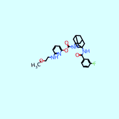 COCCNc1cccc(OC(=O)NC23CC4CC(C2)CC(NC(=O)c2cccc(F)c2)(C4)C3)n1